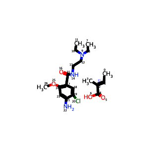 C/C=C(\C)C(=O)O.CCN(CC)CCNC(=O)c1cc(Cl)c(N)cc1OC